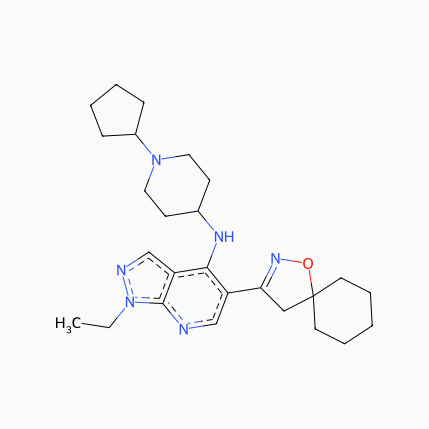 CCn1ncc2c(NC3CCN(C4CCCC4)CC3)c(C3=NOC4(CCCCC4)C3)cnc21